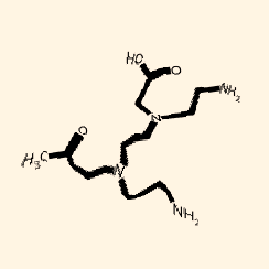 CC(=O)CN(CCN)CCN(CCN)CC(=O)O